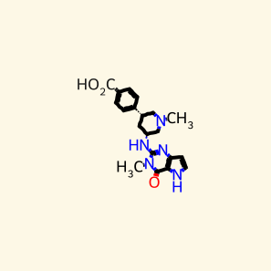 CN1C[C@H](Nc2nc3cc[nH]c3c(=O)n2C)C[C@H](c2ccc(C(=O)O)cc2)C1